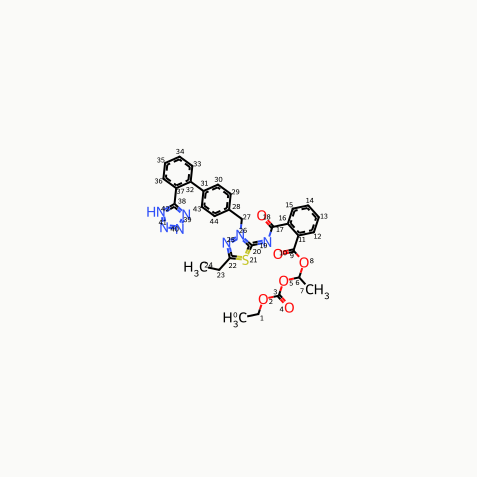 CCOC(=O)OC(C)OC(=O)c1ccccc1C(=O)N=c1sc(CC)nn1Cc1ccc(-c2ccccc2-c2nnn[nH]2)cc1